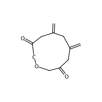 C=C1CC(=C)CC(=O)COCC(=O)C1